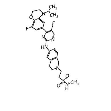 CNS(=O)(=O)CCN1CCc2cc(Nc3ncc(F)c(-c4cc(F)c5c(c4)N(C(C)C)CCO5)n3)ccc2C1